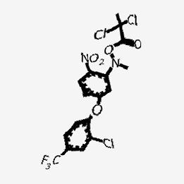 CN(OC(=O)C(C)(Cl)Cl)c1cc(Oc2ccc(C(F)(F)F)cc2Cl)ccc1[N+](=O)[O-]